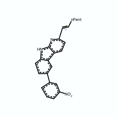 CCCCC/C=C/c1ccc2c(n1)[nH]c1ccc(-c3cccc([N+](=O)[O-])c3)cc12